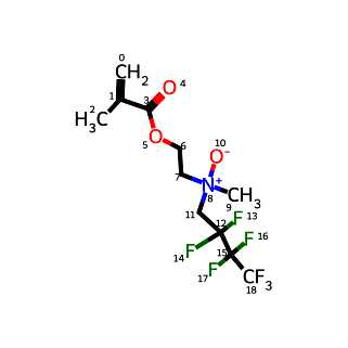 C=C(C)C(=O)OCC[N+](C)([O-])CC(F)(F)C(F)(F)C(F)(F)F